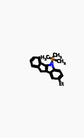 CCc1ccc2c(c1)c1c(n2S(C)(C)C)-c2ccccc2C1